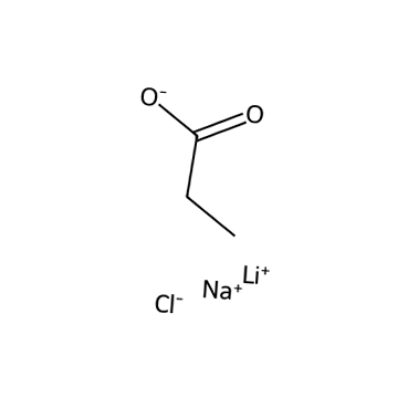 CCC(=O)[O-].[Cl-].[Li+].[Na+]